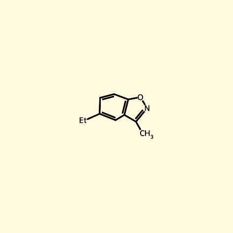 CCc1ccc2onc(C)c2c1